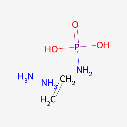 C=C.N.N.NP(=O)(O)O